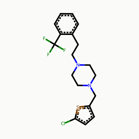 FC(F)(F)c1ccccc1CCN1CCN(Cc2ccc(Cl)s2)CC1